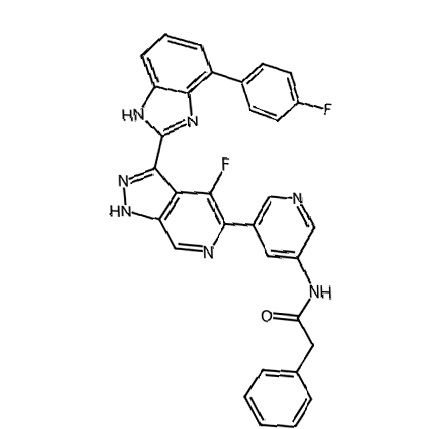 O=C(Cc1ccccc1)Nc1cncc(-c2ncc3[nH]nc(-c4nc5c(-c6ccc(F)cc6)cccc5[nH]4)c3c2F)c1